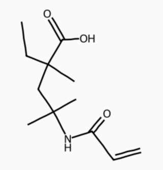 C=CC(=O)NC(C)(C)CC(C)(CC)C(=O)O